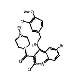 CCN1CCN(C(=O)c2c(Cl)nc3ccc(Br)cc3c2NCc2ccc(OC)c(Cl)c2)CC1